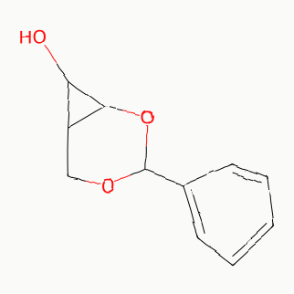 OC1C2COC(c3ccccc3)OC12